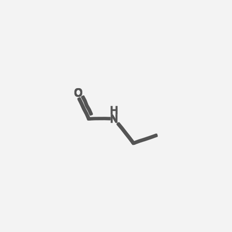 CCNC=O